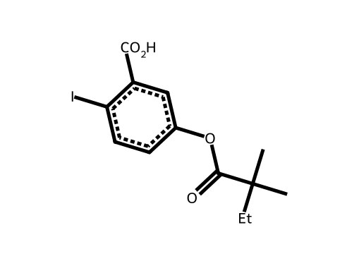 CCC(C)(C)C(=O)Oc1ccc(I)c(C(=O)O)c1